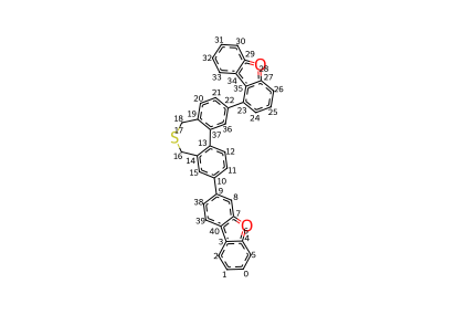 c1ccc2c(c1)oc1cc(-c3ccc4c(c3)CSCc3ccc(-c5cccc6oc7ccccc7c56)cc3-4)ccc12